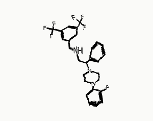 Fc1ccccc1N1CCN(C(CNCc2cc(C(F)(F)F)cc(C(F)(F)F)c2)c2ccccc2)CC1